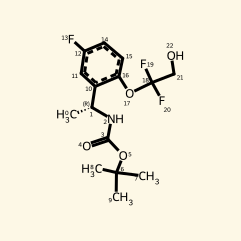 C[C@@H](NC(=O)OC(C)(C)C)c1cc(F)ccc1OC(F)(F)CO